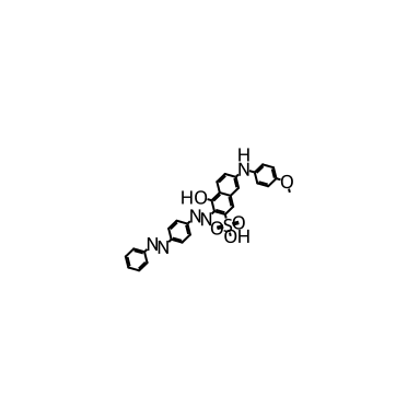 COc1ccc(Nc2ccc3c(O)c(N=Nc4ccc(N=Nc5ccccc5)cc4)c(S(=O)(=O)O)cc3c2)cc1